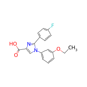 CCOc1cccc(-n2cc(C(=O)O)nc2-c2ccc(F)cc2)c1